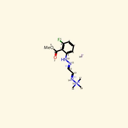 COC(=O)c1c(F)cccc1N/N=C/C=N/[N+](C)(C)C.[I-]